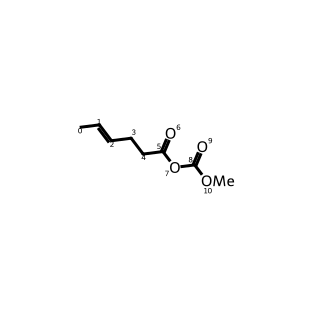 CC=CCCC(=O)OC(=O)OC